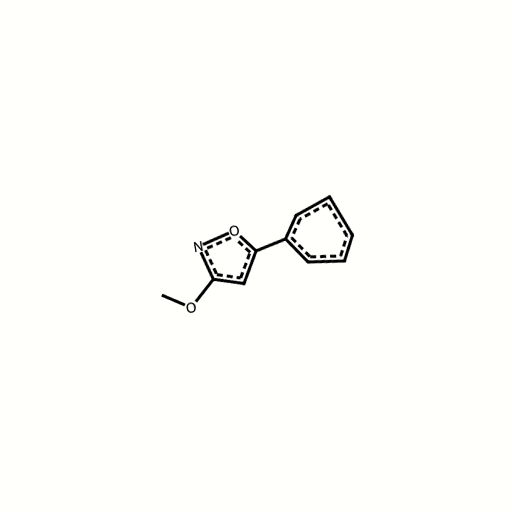 COc1cc(-c2ccccc2)on1